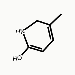 CC1=CC=C(O)NC1